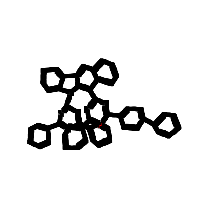 c1ccc(-c2ccc(-c3nc(-c4ccccc4)nc(-c4c5ccccc5cc5c6ccccc6n(-c6nc(-c7ccccc7)nc(-c7ccccc7)n6)c45)n3)cc2)cc1